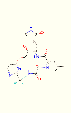 CC(C)C[C@H](NC(=O)C(N)=O)C(=O)N[C@@H](C[C@@H]1CCNC1=O)C(=O)COc1ccnc(C(F)(F)F)n1